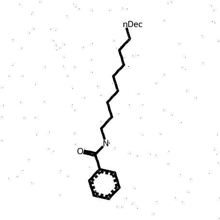 CCCCCCCCCCCCCCCCCC[N]C(=O)c1ccccc1